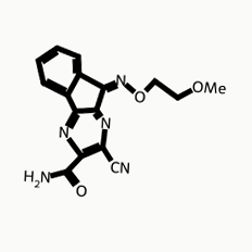 COCCON=C1c2ccccc2-c2nc(C(N)=O)c(C#N)nc21